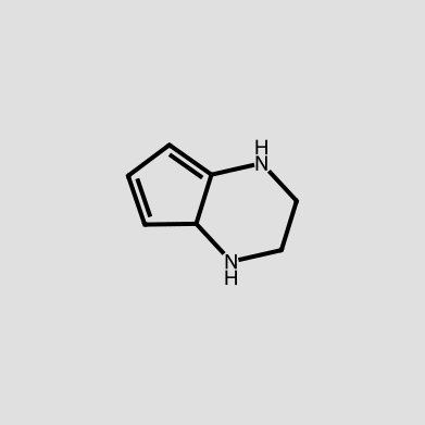 C1=CC2NCCNC2=C1